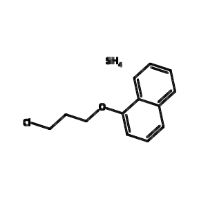 ClCCCOc1cccc2ccccc12.[SiH4]